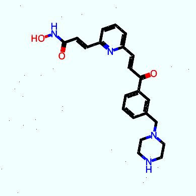 O=C(C=Cc1cccc(C=CC(=O)c2cccc(CN3CCNCC3)c2)n1)NO